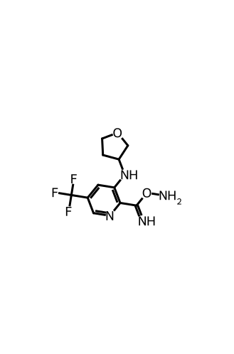 N=C(ON)c1ncc(C(F)(F)F)cc1NC1CCOC1